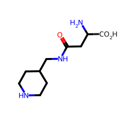 NC(CC(=O)NCC1CCNCC1)C(=O)O